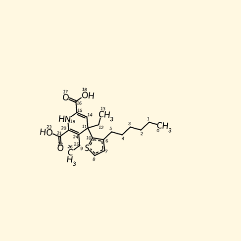 CCCCCCc1ccsc1C1(CC)C=C(C(=O)O)NC(C(=O)O)=C1CC